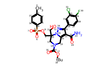 Cc1ccc(S(=O)(=O)OCC2(CO)CN(C(=O)OC(C)(C)C)Cc3c(C(N)=O)c(-c4ccc(F)c(Cl)c4)nn32)cc1